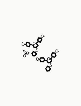 COc1ccc(-c2cc(Sc3ccccc3)cc(-c3ccc(OC)cc3)[o+]2)cc1.COc1ccc(-c2cc(Sc3ccccc3)cc(-c3ccc(OC)cc3)[o+]2)cc1.[O-]B([O-])F